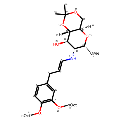 CCCCCCCCOc1ccc(C/C=C/N[C@H]2[C@@H](OC)O[C@@H]3COC(C)(C)O[C@H]3[C@@H]2O)cc1OCCCCCCCC